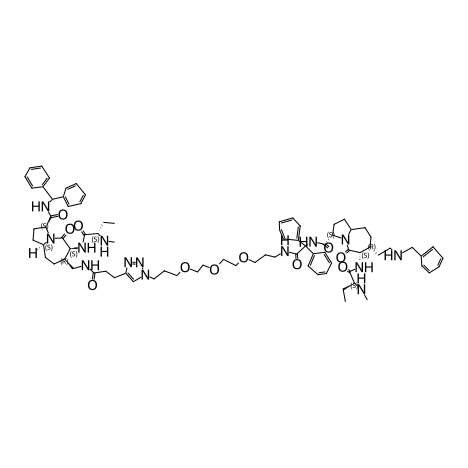 CC[C@H](NC)C(=O)N[C@@H]1C(=O)N2C(CC[C@@H]1CCNCc1ccccc1)CC[C@H]2C(=O)NC(C(=O)NCCCOCCOCCOCCCn1cc(CCC(=O)NC[C@H]2CC[C@H]3CC[C@@H](C(=O)NC(c4ccccc4)c4ccccc4)N3C(=O)[C@H]2NC(=O)[C@H](CC)NC)nn1)(c1ccccc1)c1ccccc1